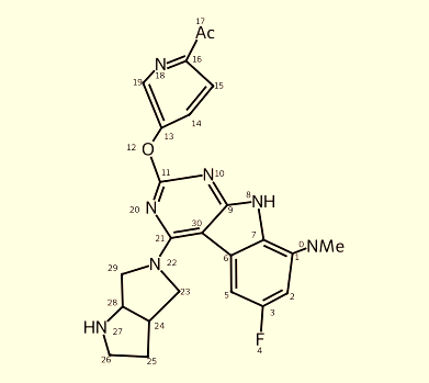 CNc1cc(F)cc2c1[nH]c1nc(Oc3ccc(C(C)=O)nc3)nc(N3CC4CCNC4C3)c12